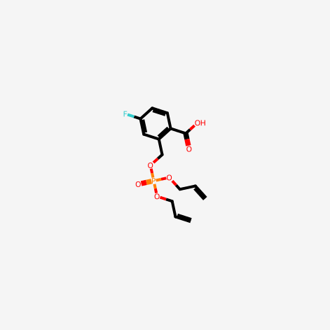 C=CCOP(=O)(OCC=C)OCc1cc(F)ccc1C(=O)O